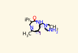 C=CN(/C=C\N)C/C1=C/C(I)=C\C(C)=N\CC(C(C)C)C(=O)N1